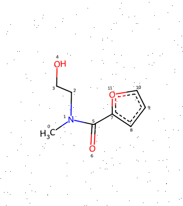 CN(CCO)C(=O)c1ccco1